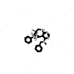 CN(Cc1ccccc1)c1ncnc2c1C1OC[C@H](CN2)N1S(=O)(=O)c1ccccc1